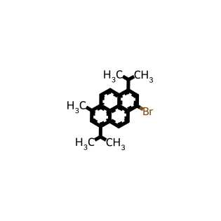 Cc1cc(C(C)C)c2ccc3c(Br)cc(C(C)C)c4ccc1c2c34